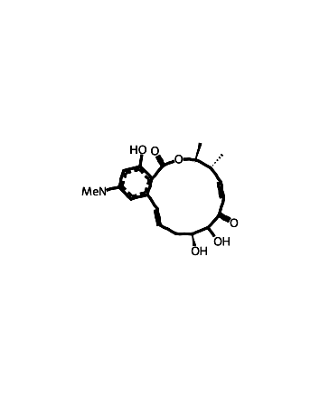 CNc1cc(O)c2c(c1)/C=C/C[C@H](O)C(O)C(=O)/C=C\[C@@H](C)[C@H](C)OC2=O